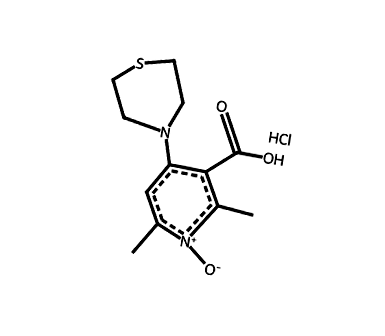 Cc1cc(N2CCSCC2)c(C(=O)O)c(C)[n+]1[O-].Cl